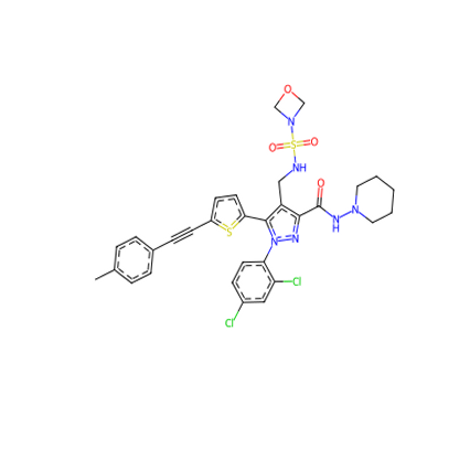 Cc1ccc(C#Cc2ccc(-c3c(CNS(=O)(=O)N4COC4)c(C(=O)NN4CCCCC4)nn3-c3ccc(Cl)cc3Cl)s2)cc1